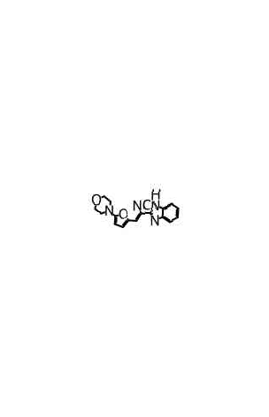 N#CC(=Cc1ccc(N2CCOCC2)o1)c1nc2ccccc2[nH]1